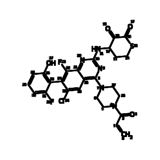 C=CC(=O)N1CCN(c2nc(NC3CCSC(=O)C3=O)nc3c(F)c(-c4c(O)cccc4F)c(Cl)cc23)CC1